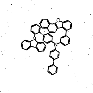 c1ccc(-c2ccc(N(c3ccc(-c4ccccc4-n4c5ccccc5c5ccccc54)cc3)c3cccc(-c4cccc5oc6c7ccccc7ccc6c45)c3)cc2)cc1